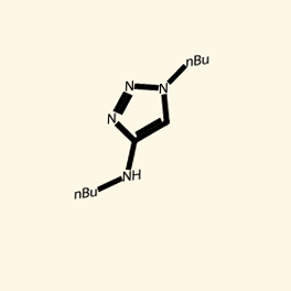 CCCCNc1cn(CCCC)nn1